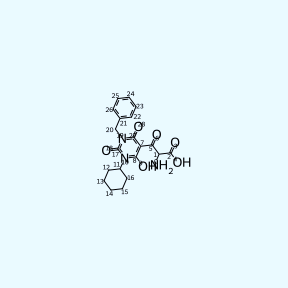 NC(C(=O)O)C(=O)c1c(O)n(C2CCCCC2)c(=O)n(Cc2ccccc2)c1=O